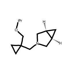 CC(C)OCC1(CN2C[C@H]3C[C@H]3C2)CC1